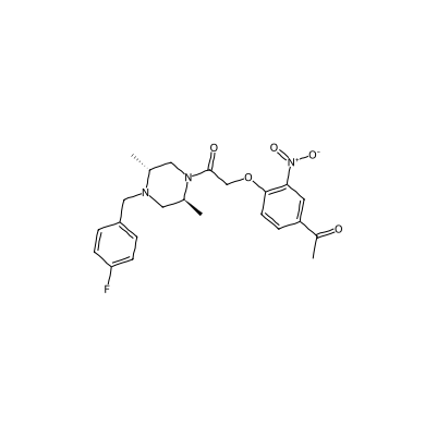 CC(=O)c1ccc(OCC(=O)N2C[C@@H](C)N(Cc3ccc(F)cc3)C[C@@H]2C)c([N+](=O)[O-])c1